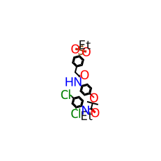 CCN(C(=O)C(C)(C)Oc1ccc(NC(=O)Cc2ccc(S(=O)(=O)CC)cc2)cc1)c1ccc(Cl)cc1Cl